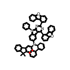 CC1(C)c2ccccc2-c2cc(N(c3ccc4c(c3)c3c(-c5cccc6oc7ccccc7c56)nc(-c5cccc6oc7ccccc7c56)nc3n4-c3ccccc3)C3CC=CC=C3c3ccccc3)ccc21